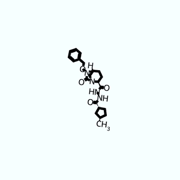 C[C@H]1CC[C@@H](C(=O)NNC(=O)[C@@H]2CC[C@@H]3CN2C(=O)N3OCc2ccccc2)C1